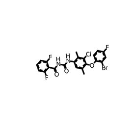 Cc1cc(NC(=O)NC(=O)c2c(F)cccc2F)c(C)c(Cl)c1Oc1ccc(F)cc1Br